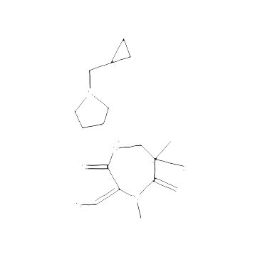 CN1C(=O)C(C)(C)CN([C@@H]2CCN(CC3CC3)C2)C(=N)/C1=C\N